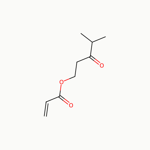 C=CC(=O)OCCC(=O)C(C)C